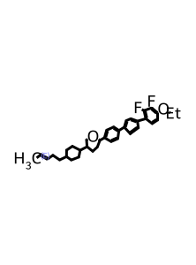 C/C=C/CCC1CCC(C2CCC(c3ccc(-c4ccc(-c5ccc(OCC)c(F)c5F)cc4)cc3)OC2)CC1